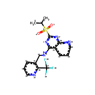 CC(C)S(=O)(=O)c1nc(NCc2cccnc2C(F)(F)F)c2cccnc2n1